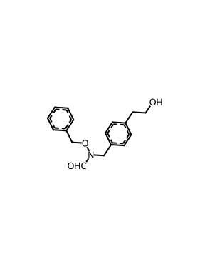 O=CN(Cc1ccc(CCO)cc1)OCc1ccccc1